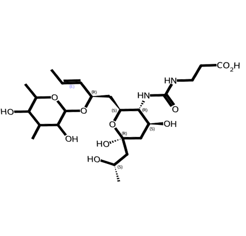 C/C=C/[C@@H](C[C@@H]1O[C@](O)(C[C@H](C)O)C[C@H](O)[C@H]1NC(=O)NCCC(=O)O)OC1OC(C)C(O)C(C)C1O